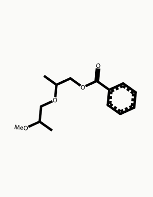 COC(C)COC(C)COC(=O)c1ccccc1